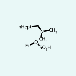 CCCCCCCCN(C)C.CCOS(=O)(=O)O